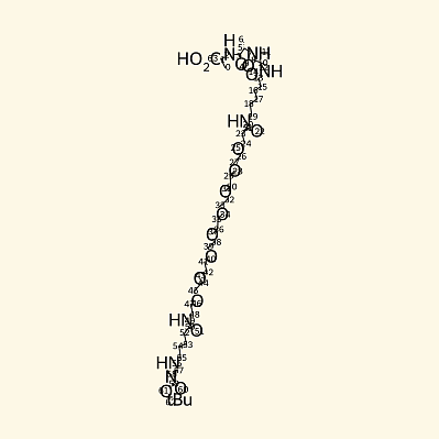 C[C@H](NC(=O)[C@H](C)NC(=O)[C@H](C)NC(=O)CCCCCNC(=O)CCOCCOCCOCCOCCOCCOCCOCCOCCNC(=O)CCCCNC=NC(=O)OC(C)(C)C)C(=O)O